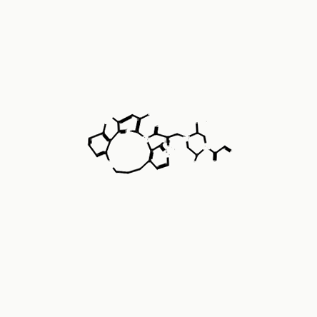 C=CC(=O)N1CC(C)N(CC(C#N)C(=O)N2c3nc(c(F)cc3CC)-c3c(F)cccc3OCCCc3ccnc(C(C)C)c32)CC1C